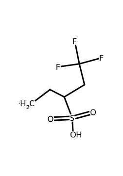 [CH2]CC(CC(F)(F)F)S(=O)(=O)O